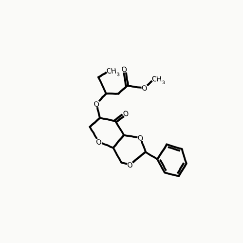 CCC(CC(=O)OC)OC1COC2COC(c3ccccc3)OC2C1=O